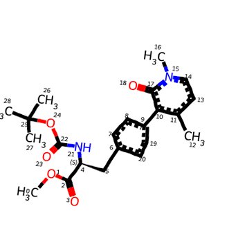 COC(=O)[C@H](Cc1ccc(-c2c(C)ccn(C)c2=O)cc1)NC(=O)OC(C)(C)C